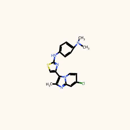 Cc1nc2cc(Cl)ccn2c1-c1csc(Nc2ccc(N(C)C)cc2)n1